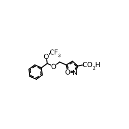 O=C(O)c1cc(COC(OC(F)(F)F)c2ccccc2)on1